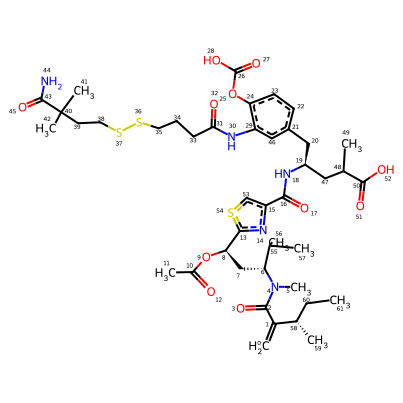 C=C(C(=O)N(C)[C@H](C[C@@H](OC(C)=O)c1nc(C(=O)N[C@@H](Cc2ccc(OC(=O)O)c(NC(=O)CCCSSCCC(C)(C)C(N)=O)c2)CC(C)C(=O)O)cs1)C(C)C)[C@@H](C)CC